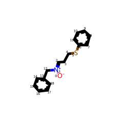 [O-][N+](=CCCSc1ccccc1)Cc1ccccc1